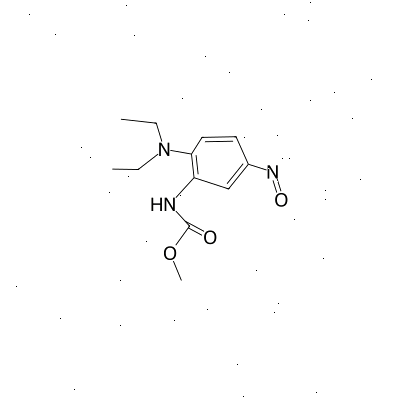 CCN(CC)c1ccc(N=O)cc1NC(=O)OC